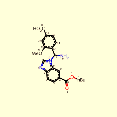 CCCCOC(=O)c1ccc2ncn(C(N)c3ccc(C(=O)O)cc3OC)c2c1